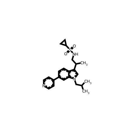 CC(C)Cn1cc(C(C)CNS(=O)(=O)C2CC2)c2ccc(-c3ccncc3)cc21